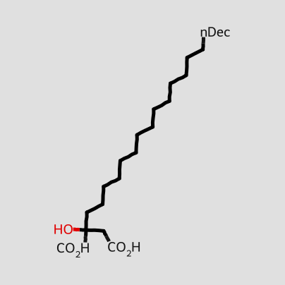 CCCCCCCCCCCCCCCCCCCCCCCCC(O)(CC(=O)O)C(=O)O